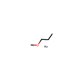 CCCOC.[Au]